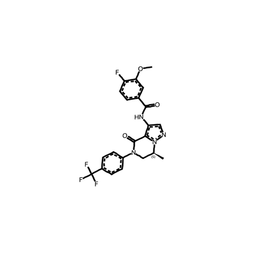 COc1cc(C(=O)Nc2cnn3c2C(=O)N(c2ccc(C(F)(F)F)cc2)C[C@@H]3C)ccc1F